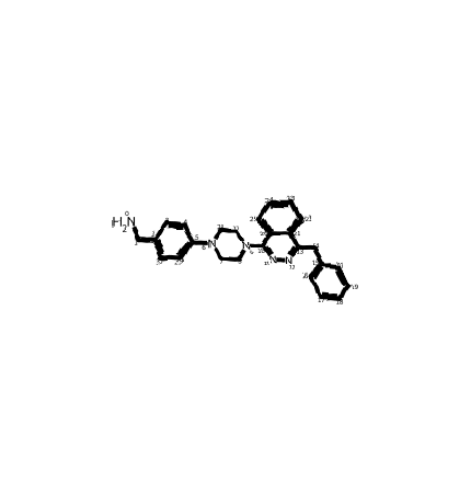 NCc1ccc(N2CCN(c3nnc(Cc4ccccc4)c4ccccc34)CC2)cc1